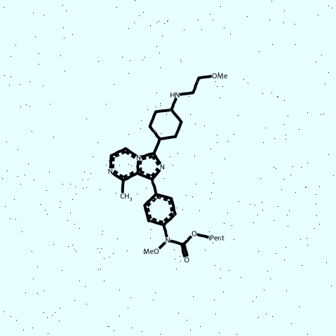 CCCC(C)OC(=O)N(OC)c1ccc(-c2nc(C3CCC(NCCOC)CC3)n3ccnc(C)c23)cc1